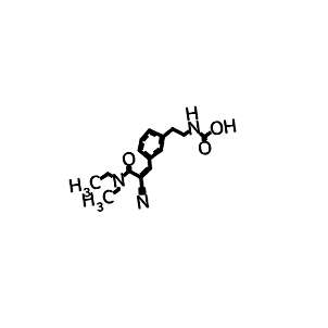 CCN(CC)C(=O)C(C#N)=Cc1cccc(CCNC(=O)O)c1